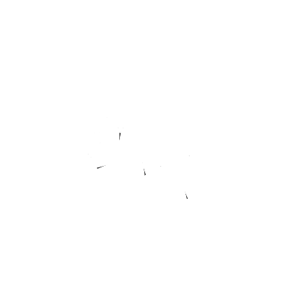 CCC(=O)O[C@]1(C(=O)SCF)[C@H](C)C[C@H]2C3(C)C[C@H](F)C4=CC(=O)C=CC4(C)C3[C@@H](O)C[C@@]21C